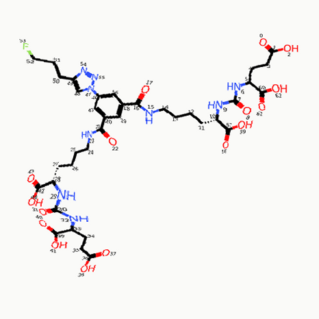 O=C(O)CCC(NC(=O)N[C@@H](CCCCNC(=O)c1cc(C(=O)NCCCC[C@H](NC(=O)NC(CCC(=O)O)C(=O)O)C(=O)O)cc(-n2cc(CCCF)nn2)c1)C(=O)O)C(=O)O